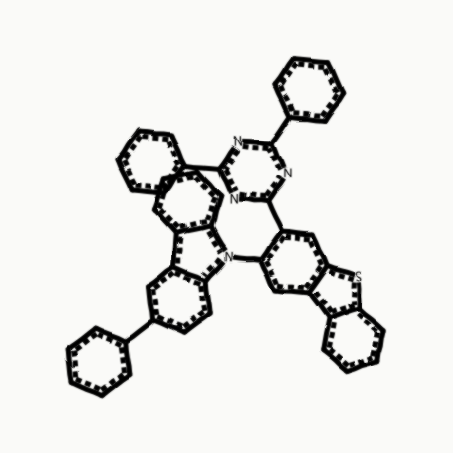 c1ccc(-c2ccc3c(c2)c2ccccc2n3-c2cc3c(cc2-c2nc(-c4ccccc4)nc(-c4ccccc4)n2)sc2ccccc23)cc1